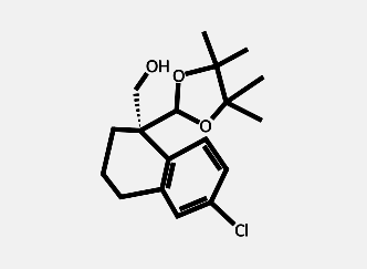 CC1(C)OC([C@]2(CO)CCCc3cc(Cl)ccc32)OC1(C)C